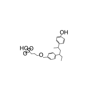 CCC(CC(C)c1ccc(O)cc1)c1ccc(COCCCS(=O)(=O)O)cc1